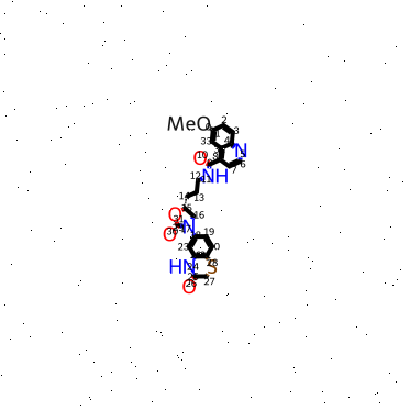 COc1ccc2nccc(C(=O)NCCC[C@@H]3CN(c4ccc5c(c4)NC(=O)CS5)C(=O)O3)c2c1